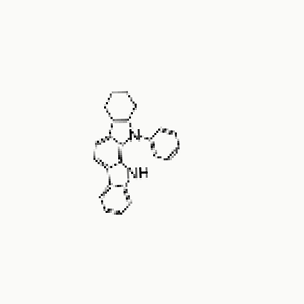 c1ccc(-n2c3c(c4ccc5c6ccccc6[nH]c5c42)CCCC3)cc1